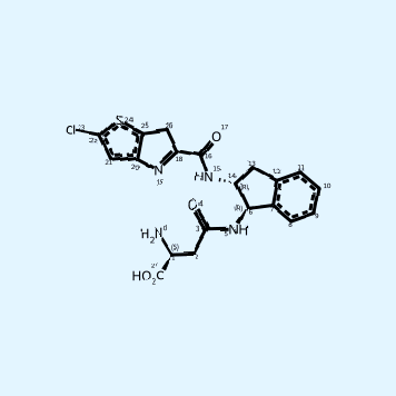 N[C@@H](CC(=O)N[C@@H]1c2ccccc2C[C@H]1NC(=O)C1=Nc2cc(Cl)sc2C1)C(=O)O